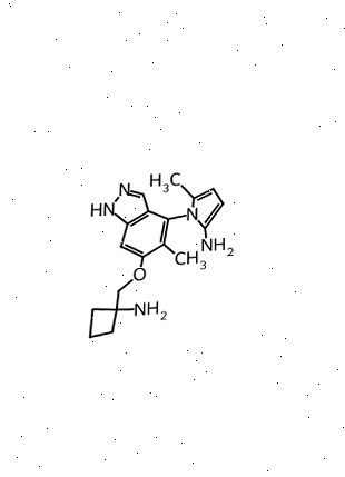 Cc1c(OCC2(N)CCC2)cc2[nH]ncc2c1-n1c(C)ccc1N